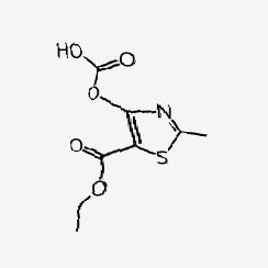 CCOC(=O)c1sc(C)nc1OC(=O)O